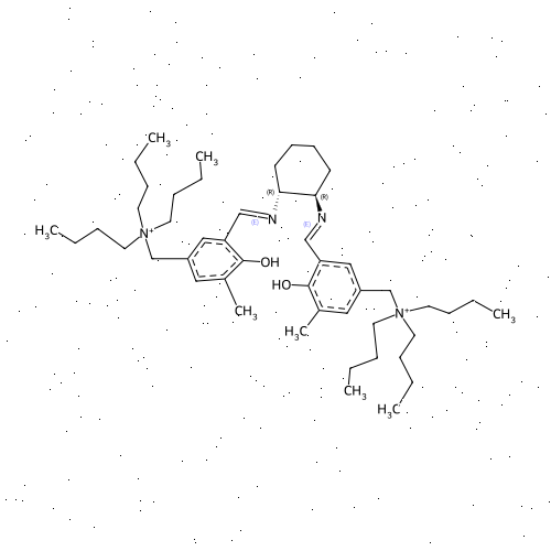 CCCC[N+](CCCC)(CCCC)Cc1cc(C)c(O)c(/C=N/[C@@H]2CCCC[C@H]2/N=C/c2cc(C[N+](CCCC)(CCCC)CCCC)cc(C)c2O)c1